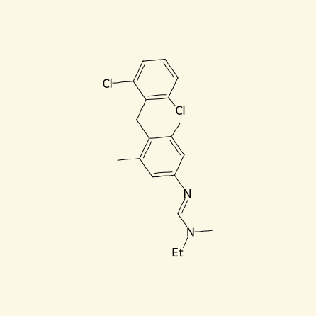 CCN(C)C=Nc1cc(C)c(Cc2c(Cl)cccc2Cl)c(C)c1